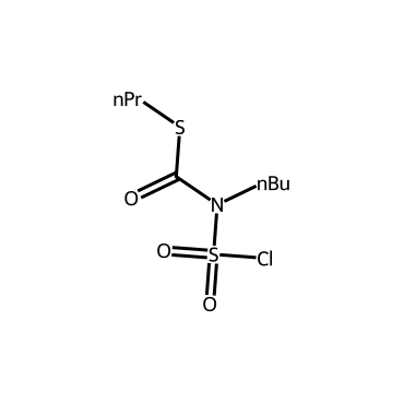 CCCCN(C(=O)SCCC)S(=O)(=O)Cl